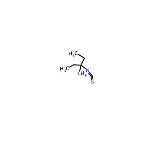 CCC(C)(CC)N=C=S